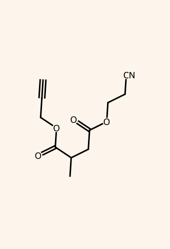 C#CCOC(=O)C(C)CC(=O)OCCC#N